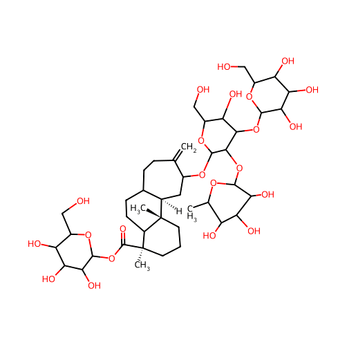 C=C1CCC2CCC3[C@](C)(C(=O)OC4OC(CO)C(O)C(O)C4O)CCC[C@@]3(C)[C@@H]2CC1OC1OC(CO)C(O)C(OC2OC(CO)C(O)C(O)C2O)C1OC1OC(C)C(O)C(O)C1O